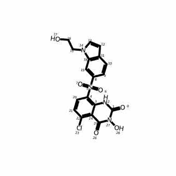 O=c1[nH]c2c(S(=O)(=O)c3ccc4ccn(CCO)c4c3)ccc(Cl)c2c(=O)n1O